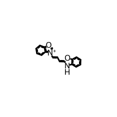 C(=C[n+]1coc2ccccc21)C=C1Nc2ccccc2O1